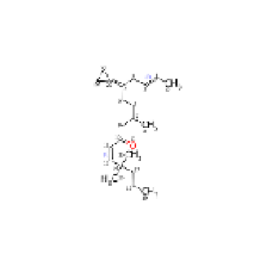 C/C=C/CC(CCC(C)CC(=O)/C=C\C(C)(C)CCC)=C1CC1